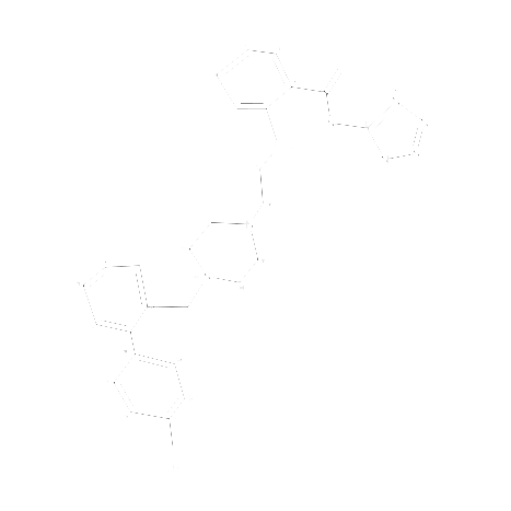 O=C(Nc1nnn[nH]1)c1ccccc1OCCN1CCN(Cc2ccccc2-c2ccc(Cl)cc2)CC1